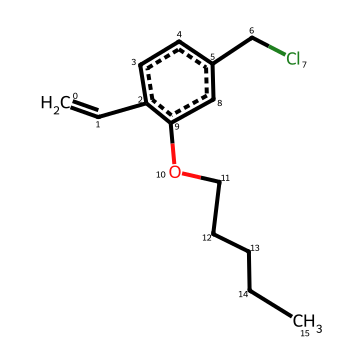 C=Cc1ccc(CCl)cc1OCCCCC